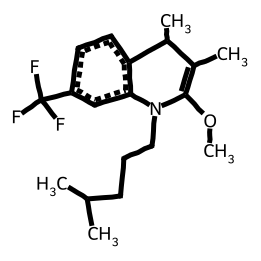 COC1=C(C)C(C)c2ccc(C(F)(F)F)cc2N1CCCC(C)C